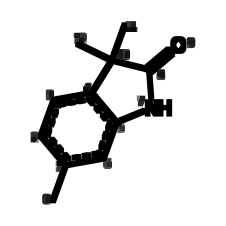 Cc1ccc2c(c1)NC(=O)C2(C)C